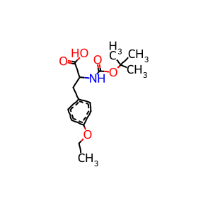 CCOc1ccc(CC(NC(=O)OC(C)(C)C)C(=O)O)cc1